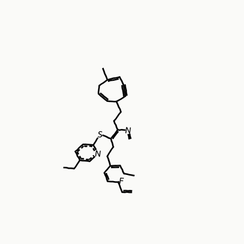 C=CC(F)/C=C\C(=C/CC)CC/C(Sc1ccc(CC)cn1)=C(/CCC1C#C/C=C(/C)C/C=C\1)N=C